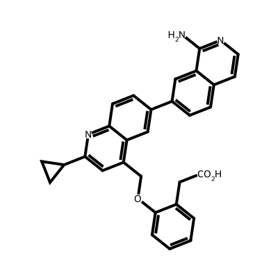 Nc1nccc2ccc(-c3ccc4nc(C5CC5)cc(COc5ccccc5CC(=O)O)c4c3)cc12